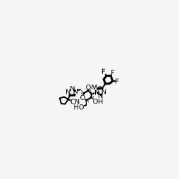 CO[C@@H]1[C@@H](n2cc(-c3cc(F)c(F)c(F)c3)nn2)[C@@H](O)[C@@H](CO)O[C@@H]1Cn1cc(C2(C#N)CCCC2)nn1